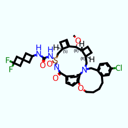 CO[C@H]1C2=CC[C@@H]2CS(=O)(NC(=O)NC2CC3(C2)CC(F)(F)C3)=NC(=O)c2ccc3c(c2)N(Cc2ccc(Cl)cc2CCCCO3)C[C@@H]2CC[C@H]21